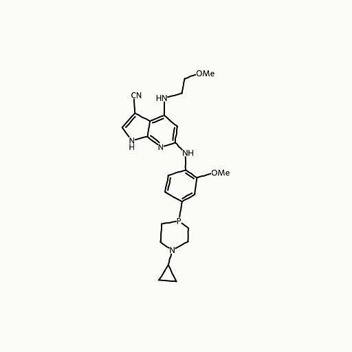 COCCNc1cc(Nc2ccc(P3CCN(C4CC4)CC3)cc2OC)nc2[nH]cc(C#N)c12